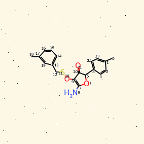 Cc1ccc(C2OC(N)=C(OSCc3cccc(C)c3)C2=O)cc1